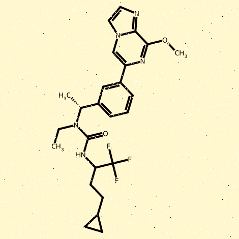 CCN(C(=O)NC(CCC1CC1)C(F)(F)F)[C@H](C)c1cccc(-c2cn3ccnc3c(OC)n2)c1